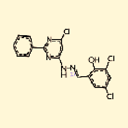 Oc1c(Cl)cc(Cl)cc1/C=N/Nc1cc(Cl)nc(-c2ccccc2)n1